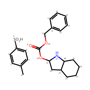 Cc1ccc(S(=O)(=O)O)cc1.O=C(OCc1ccccc1)OC1CC2CCCCC2N1